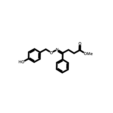 COC(=O)CC/C(=N/OCc1ccc(O)cc1)c1ccccc1